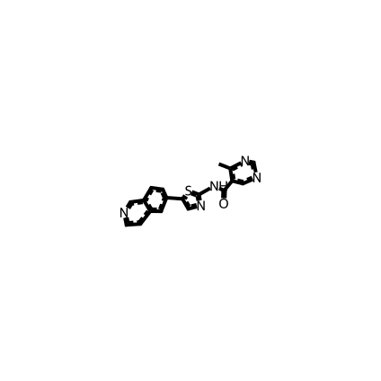 Cc1ncncc1C(=O)Nc1ncc(-c2ccc3cnccc3c2)s1